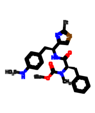 CCc1nc([C@H](Cc2ccc(NS(=O)(=O)O)cc2)NC(=O)[C@H](Cc2ccccc2)N(C)C(=O)OC(C)(C)C)cs1